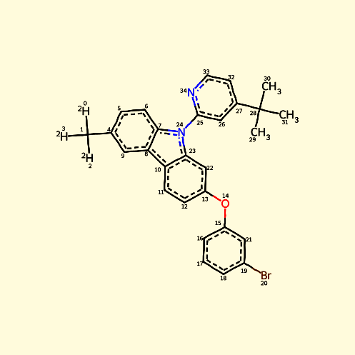 [2H]C([2H])([2H])c1ccc2c(c1)c1ccc(Oc3cccc(Br)c3)cc1n2-c1cc(C(C)(C)C)ccn1